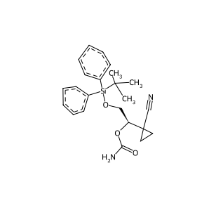 CC(C)(C)[Si](OC[C@H](OC(N)=O)C1(C#N)CC1)(c1ccccc1)c1ccccc1